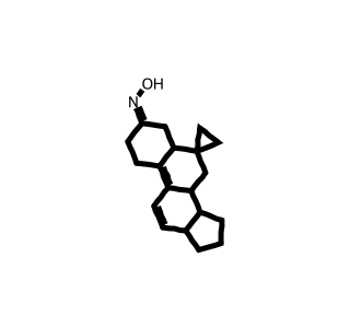 ON=C1CCC2=C3C=CC4CCCC4C3CC3(CC3)C2C1